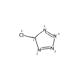 ClC1N=NN=N1